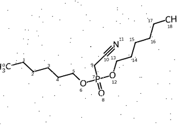 CCCCCCOP(=O)(CC#N)OCCCCCC